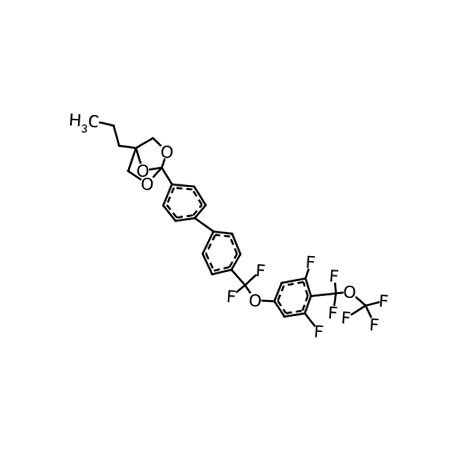 CCCC12COC(c3ccc(-c4ccc(C(F)(F)Oc5cc(F)c(C(F)(F)OC(F)(F)F)c(F)c5)cc4)cc3)(OC1)O2